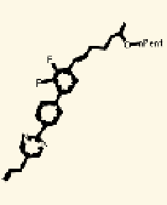 C=CCc1cnc(-c2ccc(-c3ccc(C=CCCCC(C)OCCCCC)c(F)c3F)cc2)nc1